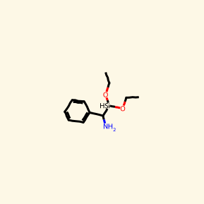 CCO[SiH](OCC)C(N)c1ccccc1